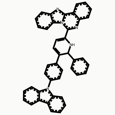 C1=C(c2nc3ccccc3c3nc4ccccc4n23)NC(c2ccccc2)C(c2ccc(-n3c4ccccc4c4ccccc43)cc2)=C1